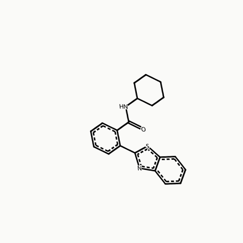 O=C(NC1CCCCC1)c1ccccc1-c1nc2ccccc2s1